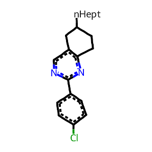 CCCCCCCC1CCc2nc(-c3ccc(Cl)cc3)ncc2C1